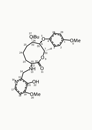 COc1ccc(O[C@H]2[C@H](C)OC(=O)[C@@H](NCc3nccc(OC)c3O)CCC[C@@H]2OCC(C)C)cc1